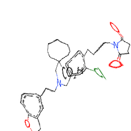 O=C1CCC(=O)N1CCCc1ccc(CN(CCc2ccc3c(c2)CCO3)CC2(C(=O)O)CCCCC2)cc1Cl